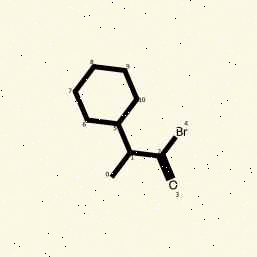 CC(C(=O)Br)C1CCCCC1